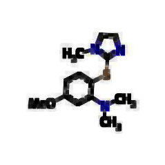 COc1ccc(Sc2nccn2C)c(N(C)C)c1